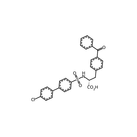 O=C(c1ccccc1)c1ccc(C[C@@H](NS(=O)(=O)c2ccc(-c3ccc(Cl)cc3)cc2)C(=O)O)cc1